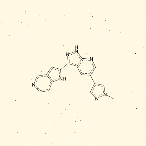 Cn1cc(-c2cnc3[nH]nc(-c4cc5cnccc5[nH]4)c3c2)cn1